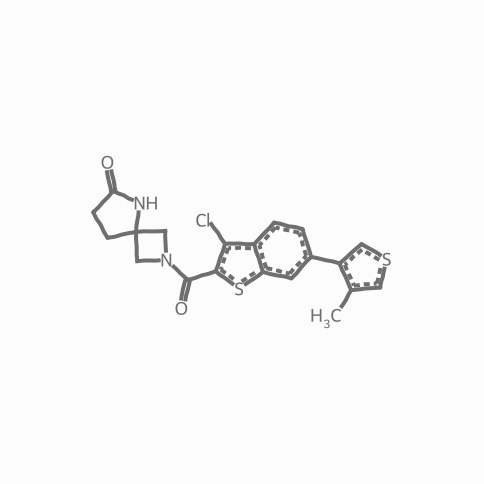 Cc1cscc1-c1ccc2c(Cl)c(C(=O)N3CC4(CCC(=O)N4)C3)sc2c1